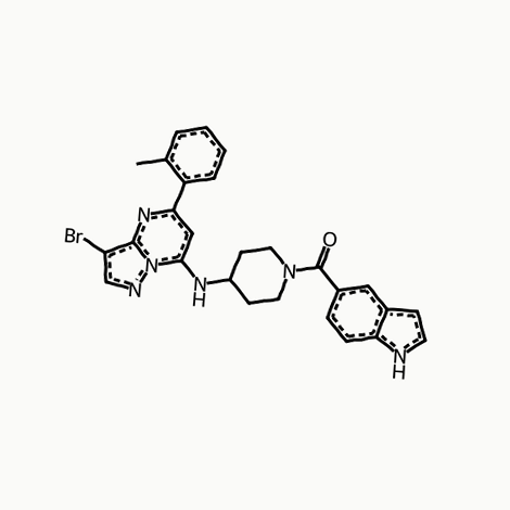 Cc1ccccc1-c1cc(NC2CCN(C(=O)c3ccc4[nH]ccc4c3)CC2)n2ncc(Br)c2n1